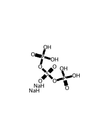 O=P(O)(O)OS(=O)(=O)OP(=O)(O)O.[NaH].[NaH]